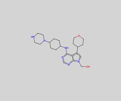 OCn1cc(C2CCOCC2)c2c(NC3CCC(N4CCNCC4)CC3)ncnc21